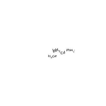 [Cd].[GeH4].[InH3].[PbH2]